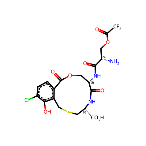 N[C@@H](COC(=O)C(F)(F)F)C(=O)N[C@H]1COC(=O)c2ccc(Cl)c(O)c2CSC[C@@H](C(=O)O)NC1=O